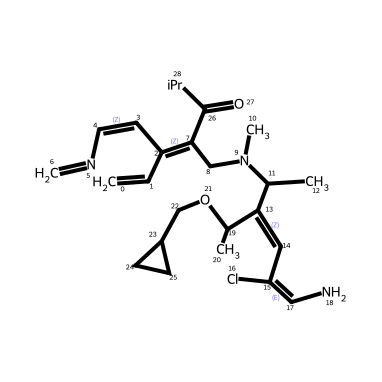 C=CC(/C=C\N=C)=C(\CN(C)C(C)/C(=C/C(Cl)=C\N)C(C)OCC1CC1)C(=O)C(C)C